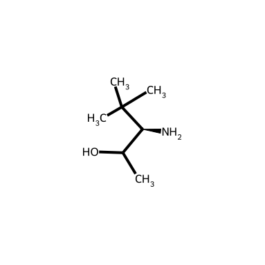 CC(O)[C@H](N)C(C)(C)C